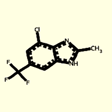 Cc1nc2c(Cl)cc(C(F)(F)F)cc2[nH]1